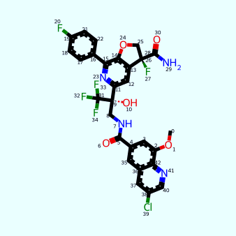 COc1cc(C(=O)NC[C@](O)(c2cc3c(c(-c4ccc(F)cc4)n2)OC[C@]3(F)C(N)=O)C(F)(F)F)cc2cc(Cl)cnc12